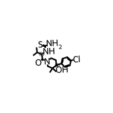 CC(C)[C@@H](NC(N)=S)C(=O)N1CC[C@](O)(c2ccc(Cl)cc2)C(C)(C)C1